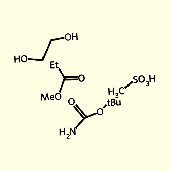 CC(C)(C)OC(N)=O.CCC(=O)OC.CS(=O)(=O)O.OCCO